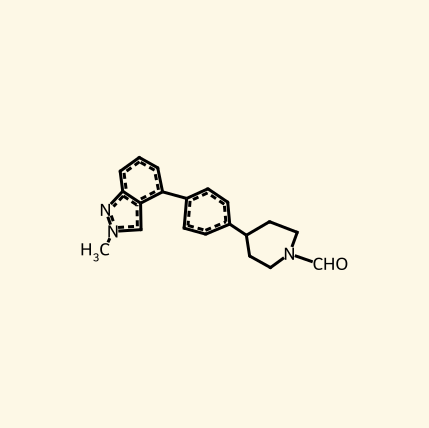 Cn1cc2c(-c3ccc(C4CCN(C=O)CC4)cc3)cccc2n1